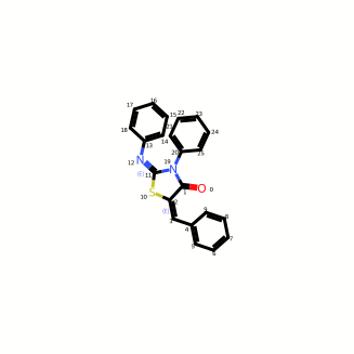 O=C1/C(=C\c2ccccc2)S/C(=N/c2ccccc2)N1c1ccccc1